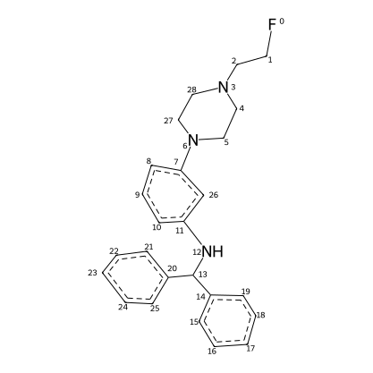 FCCN1CCN(c2cccc(NC(c3ccccc3)c3ccccc3)c2)CC1